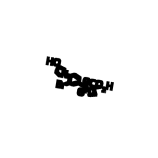 CC1(C(=O)O)CCN1S(=O)(=O)c1ccc(N2CCC(O)C2)c(Br)c1